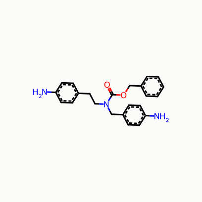 Nc1ccc(CCN(Cc2ccc(N)cc2)C(=O)OCc2ccccc2)cc1